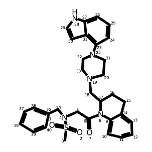 CS(=O)(=O)N(CC(=O)N1c2ccccc2CCC1CN1CCN(c2cccc3[nH]ccc23)CC1)Cc1ccccc1